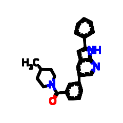 CC1CCN(C(=O)c2cccc(-c3cnc4[nH]c(-c5ccccc5)cc4c3)c2)CC1